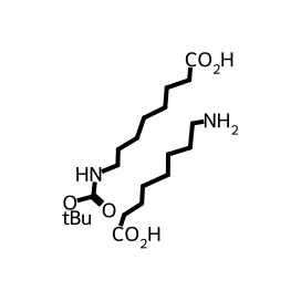 CC(C)(C)OC(=O)NCCCCCCCC(=O)O.NCCCCCCCC(=O)O